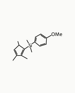 COc1ccc([Si](C)(C)C2=C(C)C(C)=CC2C)cc1